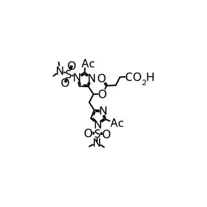 CC(=O)c1nc(CC(OC(=O)CCC(=O)O)c2cn(S(=O)(=O)N(C)C)c(C(C)=O)n2)cn1S(=O)(=O)N(C)C